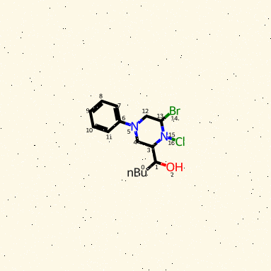 CCCCC(O)C1CN(c2ccccc2)CC(Br)N1Cl